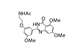 COc1cc(OCCNC(C)=O)cc(-c2nc3cc(OC)cc(OC)c3c(=O)[nH]2)c1